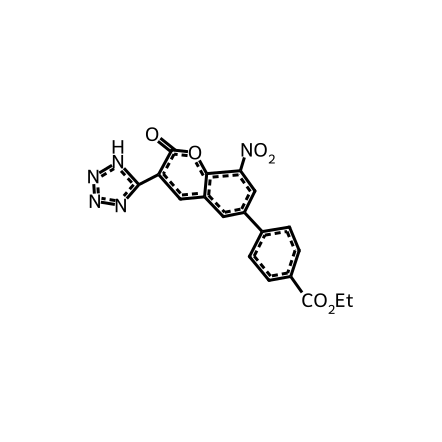 CCOC(=O)c1ccc(-c2cc([N+](=O)[O-])c3oc(=O)c(-c4nnn[nH]4)cc3c2)cc1